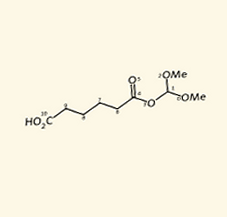 COC(OC)OC(=O)CCCCC(=O)O